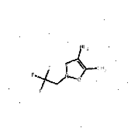 CC1=C(N)CN(CC(F)(F)F)O1